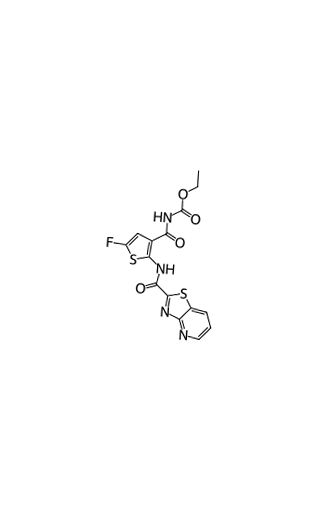 CCOC(=O)NC(=O)c1cc(F)sc1NC(=O)c1nc2ncccc2s1